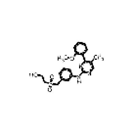 COc1ccccc1-c1nc(Nc2cccc(CS(=O)(=O)CCO)c2)ncc1C